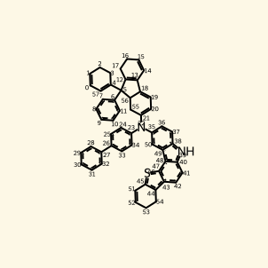 C1=CCCC(C2(c3ccccc3)C3=C(C=CCC3)C3=CC=C(N(c4ccc(-c5ccccc5)cc4)c4ccc5[nH]c6ccc7c8c(sc7c6c5c4)C=CCC8)CC32)=C1